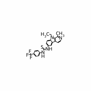 CCn1c2ccc(NC(=S)Nc3ccc(C(F)(F)F)cc3)cc2c2ccnc(C)c21